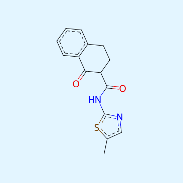 Cc1cnc(NC(=O)C2CCc3ccccc3C2=O)s1